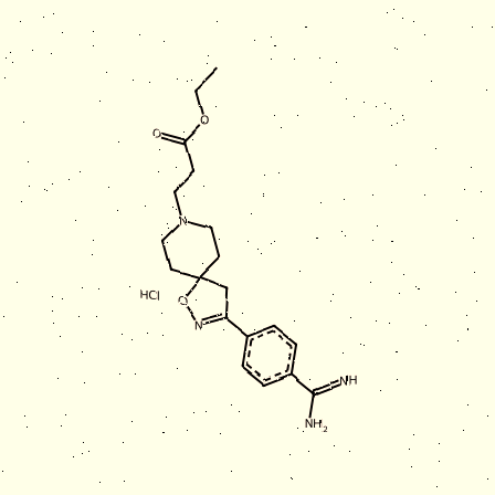 CCOC(=O)CCN1CCC2(CC1)CC(c1ccc(C(=N)N)cc1)=NO2.Cl